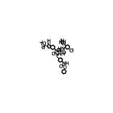 CC(C)(C)OC(=O)c1cc2cc(NC(=O)[C@H](Cc3ccc(NC(=O)Oc4ccccc4)cc3)NC(=O)C(=O)Nc3cc(Cl)ccc3-n3cnnn3)ccc2[nH]1